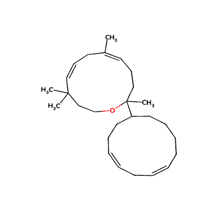 CC1=CCCC(C)(C2CCC=CCC=CCCCC2)OCCC(C)(C)C=CC1